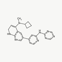 CN(C1=CCNc2ncc(-c3ccnc(Nc4ccncn4)c3)cc21)C1CCC1